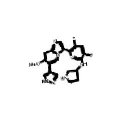 COc1cc2ncc(-c3nc(NC4CCNC4)c(F)cc3F)n2cc1-c1cn[nH]c1